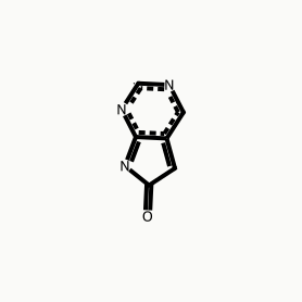 O=C1C=c2cn[c]nc2=N1